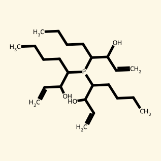 C=CC(O)C(CCCC)P(C(CCCC)C(O)C=C)C(CCCC)C(O)C=C